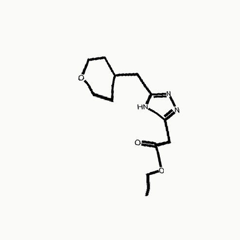 CCOC(=O)Cc1nnc(CC2CCOCC2)[nH]1